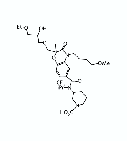 CCOCC(O)COCC1(C)Oc2cc(C(F)(F)F)c(C(=O)N(C(C)C)[C@@H]3CCCN(C(=O)O)C3)cc2N(CCCCOC)C1=O